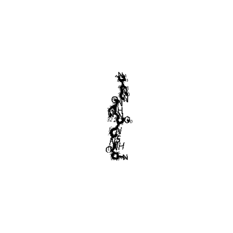 COc1cc(-c2ccc3nc(NC(=O)c4cccc(C#N)c4)sc3n2)cc(C2C3C(CN2C)C3C(=O)Nc2cc3cc(-c4ccncc4)cn3cn2)n1